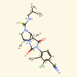 Cc1c(N2C(=O)[C@@H]3C4C[C@H](CN4C(=S)NCC(C)C)N3C2=O)ccc(C#N)c1Cl